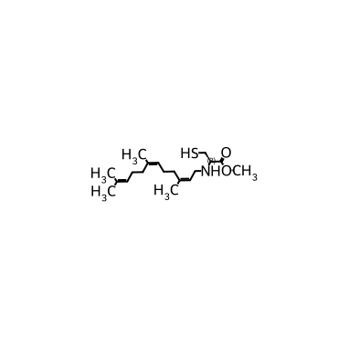 COC(=O)[C@H](CS)NCC=C(C)CCC=C(C)CCC=C(C)C